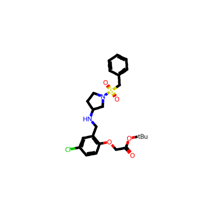 CC(C)(C)OC(=O)COc1ccc(Cl)cc1CNC1CCN(S(=O)(=O)Cc2ccccc2)C1